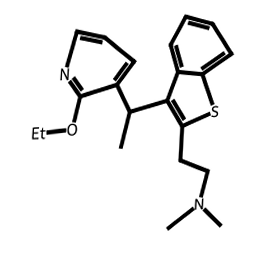 CCOc1ncccc1C(C)c1c(CCN(C)C)sc2ccccc12